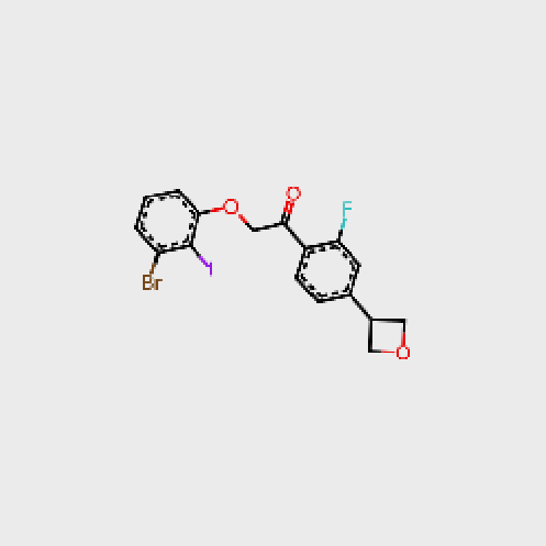 O=C(COc1cccc(Br)c1I)c1ccc(C2COC2)cc1F